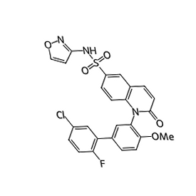 COc1ccc(-c2cc(Cl)ccc2F)cc1-n1c(=O)ccc2cc(S(=O)(=O)Nc3ccon3)ccc21